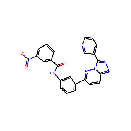 O=C(Nc1cccc(-c2ccc3nnc(-c4cccnc4)n3n2)c1)c1cccc([N+](=O)[O-])c1